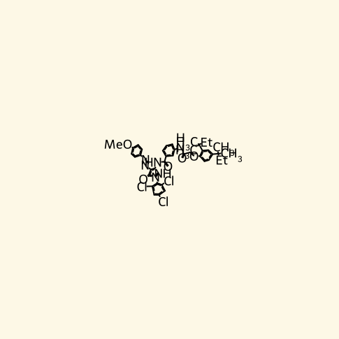 CCC(C)(C)c1ccc(OCC(=O)Nc2cccc(C(=O)Nc3[nH]n(-c4c(Cl)cc(Cl)cc4Cl)c(=O)c3N=Nc3ccc(OC)cc3)c2)c(C(C)(C)CC)c1